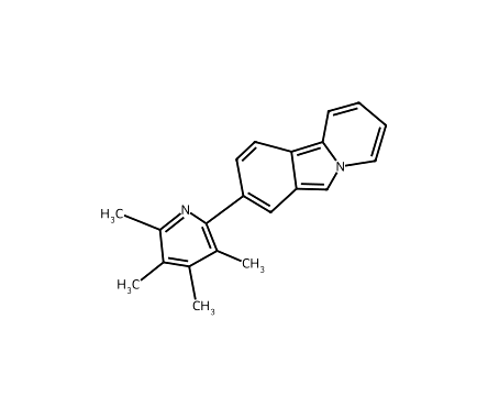 Cc1nc(-c2ccc3c(c2)cn2ccccc32)c(C)c(C)c1C